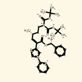 C[C@@H](/C=C(\C(=O)O[C@H](C)c1ccccc1)c1cn(-c2ccccn2)cn1)CCN(C(=O)OC(C)(C)C)C(=O)OC(C)(C)C